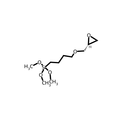 CO[Si](CCCCOC[C@H]1CO1)(OC)OC